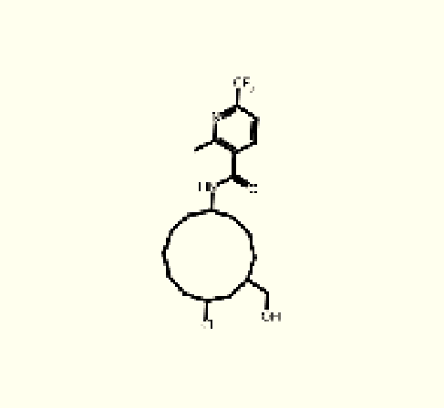 Cc1nc(C(F)(F)F)ccc1C(=O)NC1CCCCCC(Cl)CC(CO)CCC1